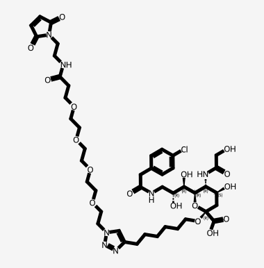 O=C(CCOCCOCCOCCOCCn1cc(CCCCCCO[C@]2(C(=O)O)C[C@H](O)[C@@H](NC(=O)CO)[C@H]([C@H](O)[C@H](O)CNC(=O)Cc3ccc(Cl)cc3)O2)nn1)NCCN1C(=O)C=CC1=O